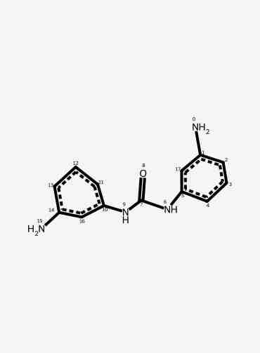 Nc1cccc(NC(=O)Nc2cccc(N)c2)c1